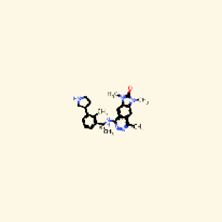 Cc1c(C2CCNC2)cccc1[C@@H](C)Nc1nnc(C)c2cc3c(cc12)n(C)c(=O)n3C